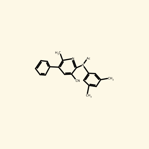 CC(=O)N(c1cc(C)cc(C)c1)c1nc(C)c(-c2ccccc2)cc1C#N